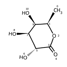 C[C@H]1OC(=O)[C@H](O)[C@@H](O)[C@H]1O